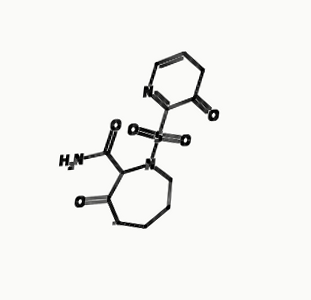 NC(=O)C1C(=O)[CH]CCCN1S(=O)(=O)C1=NC=CCC1=O